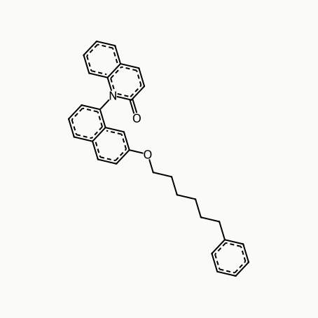 O=c1ccc2ccccc2n1-c1cccc2ccc(OCCCCCCc3ccccc3)cc12